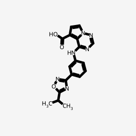 CC(C)c1nc(-c2cccc(Nc3ncnn4ccc(C(=O)O)c34)c2)no1